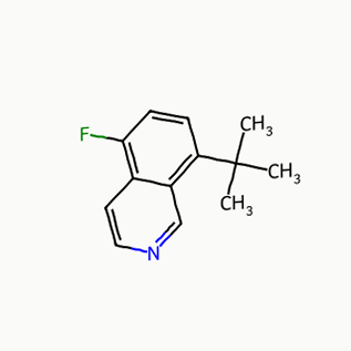 CC(C)(C)c1ccc(F)c2ccncc12